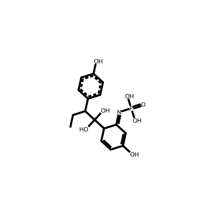 CCC(c1ccc(O)cc1)C(O)(O)C1C=CC(O)=CC1=NP(=O)(O)O